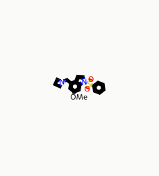 COc1cc(CN2CCC2)c2ccn(S(=O)(=O)c3ccccc3)c2c1